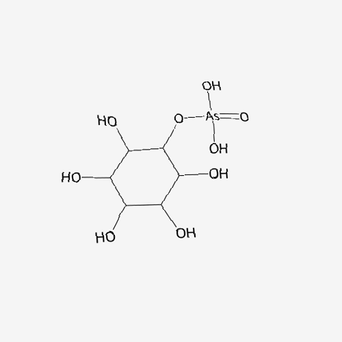 O=[As](O)(O)OC1C(O)C(O)C(O)C(O)C1O